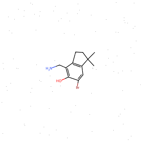 CC1(C)CCc2c1cc(Br)c(O)c2CN